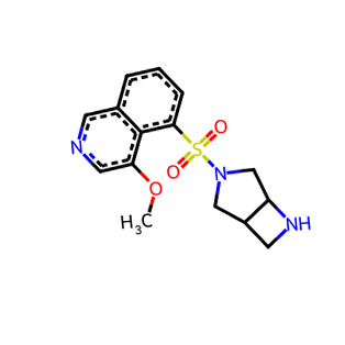 COc1cncc2cccc(S(=O)(=O)N3CC4CNC4C3)c12